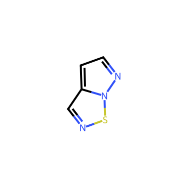 c1cc2cnsn2n1